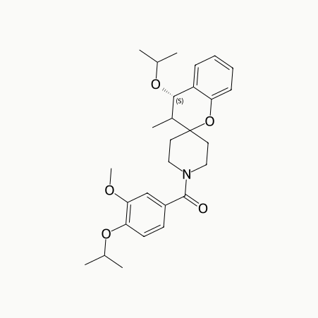 COc1cc(C(=O)N2CCC3(CC2)Oc2ccccc2[C@@H](OC(C)C)C3C)ccc1OC(C)C